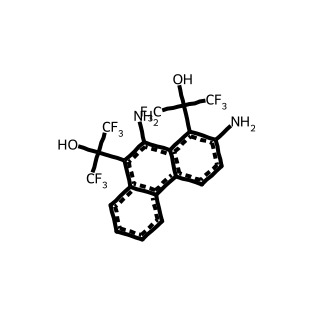 Nc1ccc2c(c(N)c(C(O)(C(F)(F)F)C(F)(F)F)c3ccccc32)c1C(O)(C(F)(F)F)C(F)(F)F